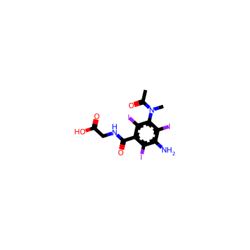 CC(=O)N(C)c1c(I)c(N)c(I)c(C(=O)NCC(=O)O)c1I